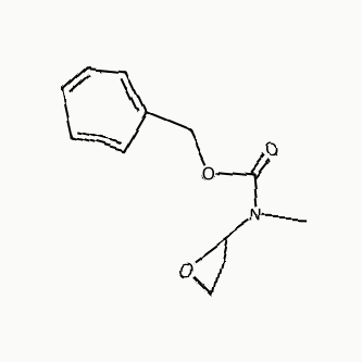 CN(C(=O)OCc1ccccc1)C1CO1